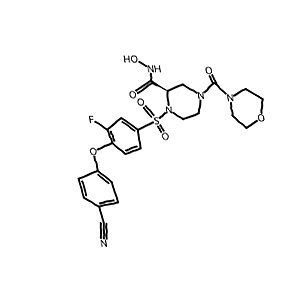 N#Cc1ccc(Oc2ccc(S(=O)(=O)N3CCN(C(=O)N4CCOCC4)C[C@@H]3C(=O)NO)cc2F)cc1